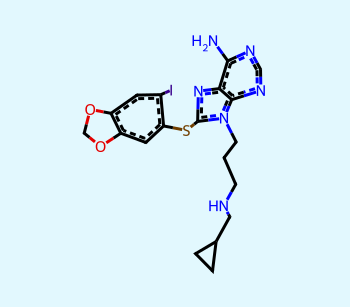 Nc1ncnc2c1nc(Sc1cc3c(cc1I)OCO3)n2CCCNCC1CC1